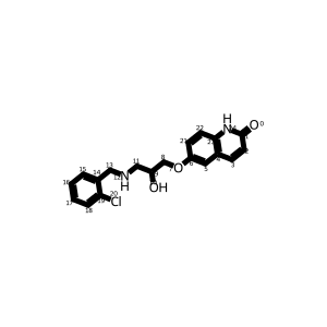 O=c1ccc2cc(OCC(O)CNCc3ccccc3Cl)ccc2[nH]1